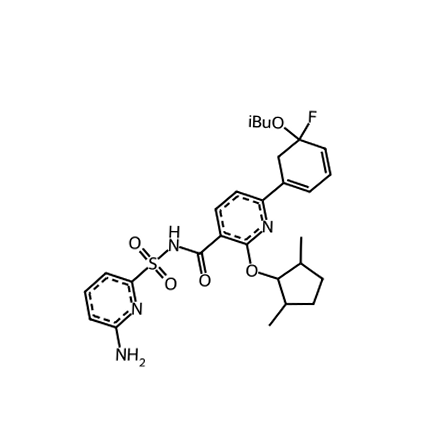 CC(C)COC1(F)C=CC=C(c2ccc(C(=O)NS(=O)(=O)c3cccc(N)n3)c(OC3C(C)CCC3C)n2)C1